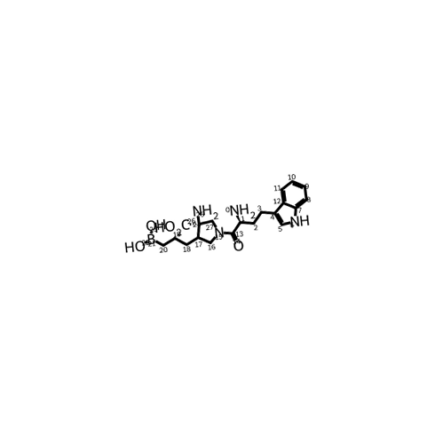 N[C@@H](CCc1c[nH]c2ccccc12)C(=O)N1CC(CCCB(O)O)[C@](N)(C(=O)O)C1